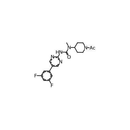 CC(=O)N1CCC(N(C)C(=O)Nc2ncc(-c3cc(F)cc(F)c3)cn2)CC1